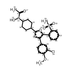 COc1ccc(-c2nc(C3CCC(N(O)C(N)=O)CC3)oc2-c2ccccc2S(N)(=O)=O)cc1Cl